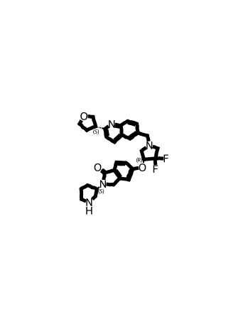 O=C1c2ccc(O[C@@H]3CN(Cc4ccc5nc([C@@H]6CCOC6)ccc5c4)CC3(F)F)cc2CN1[C@H]1CCCNC1